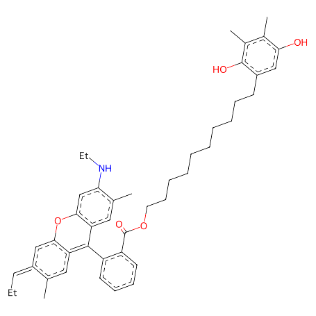 CC/C=c1/cc2c(cc1C)=C(c1ccccc1C(=O)OCCCCCCCCCCc1cc(O)c(C)c(C)c1O)c1cc(C)c(NCC)cc1O2